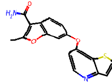 Cc1oc2cc(Oc3ccnc4ccsc34)ccc2c1C(N)=O